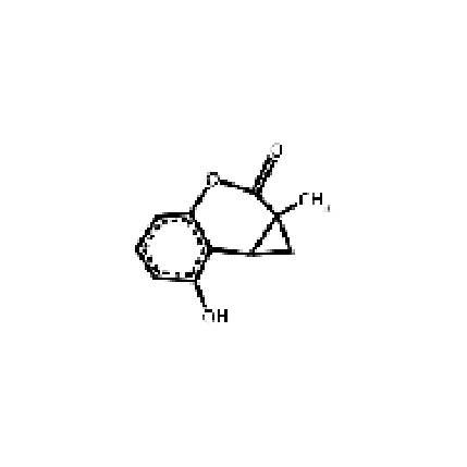 CC12CC1c1c(O)cccc1OC2=O